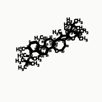 Cc1ccc2c(c1[Si](C)(C)C(C)(C)C)[C@H]1C=C3[C@@]45CC=C([C@@H](C)O[Si](C)(C)C(C)(C)C)[C@]4(C[C@@H](C)[C@]32O1)CN(C(=O)OC(C)(C)C)CCO5